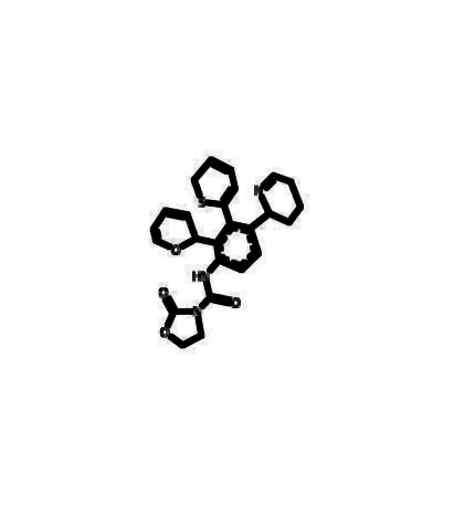 O=C(Nc1ccc(C2CCCC=N2)c(C2=CC=CCS2)c1C1C=CC=CO1)N1CCOC1=O